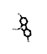 CCCCCCn1c2cc(Br)ccc2c2ccc(Br)cc21